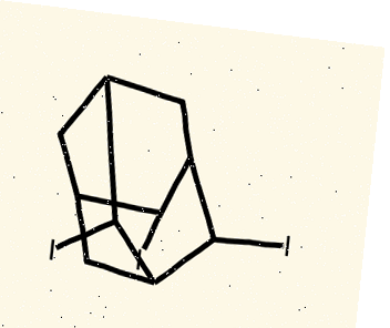 IC1C2CC3CC1C(I)C(C2)C3I